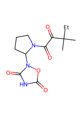 CCC(C)(C)C(=O)C(=O)N1CCCC1n1oc(=O)[nH]c1=O